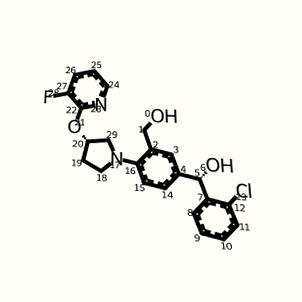 OCc1cc([C@H](O)c2ccccc2Cl)ccc1N1CC[C@H](Oc2ncccc2F)C1